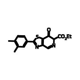 CCOC(=O)C1N=Cc2nc(-c3ccc(C)c(C)c3)sc2C1=O